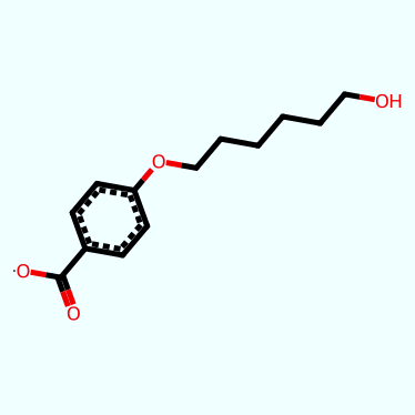 [O]C(=O)c1ccc(OCCCCCCO)cc1